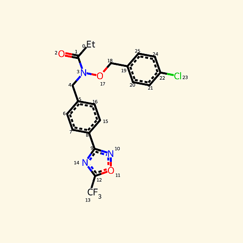 CCC(=O)N(Cc1ccc(-c2noc(C(F)(F)F)n2)cc1)OCc1ccc(Cl)cc1